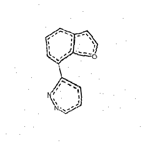 c1cnnc(-c2cccc3ccoc23)c1